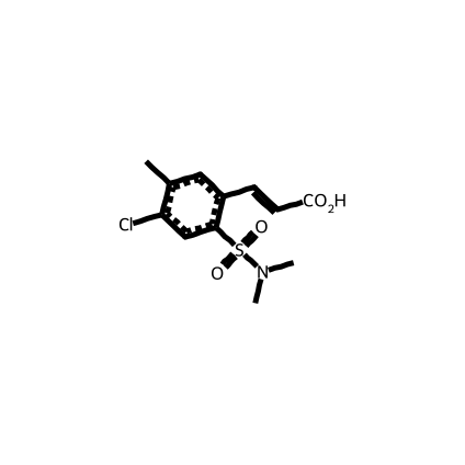 Cc1cc(C=CC(=O)O)c(S(=O)(=O)N(C)C)cc1Cl